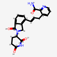 NC(=O)c1ncccc1CC=Cc1cccc2c1CN(C1CCC(=O)NC1=O)C2=O